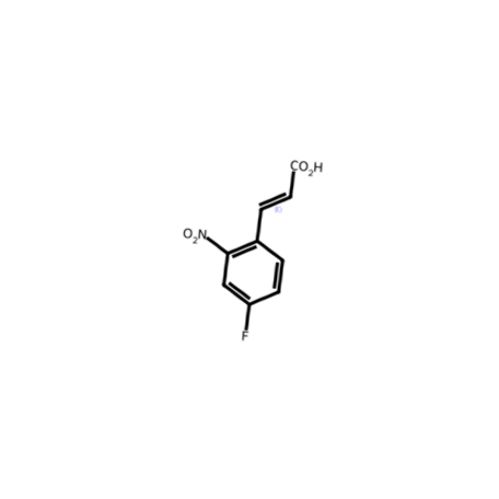 O=C(O)/C=C/c1ccc(F)cc1[N+](=O)[O-]